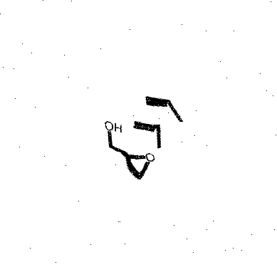 C=CC.C=CC.OCC1CO1